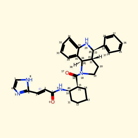 O=C(/C=C/c1ncc[nH]1)N[C@@H]1CCCC[C@@H]1C(=O)N1CC[C@H]2[C@H](c3ccccc3)Nc3ccccc3[C@@H]21